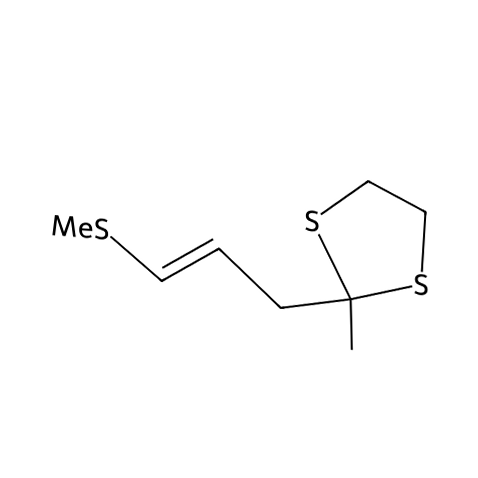 CSC=CCC1(C)SCCS1